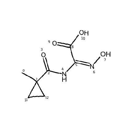 CC1(C(=O)N/C(=N/O)C(=O)O)CC1